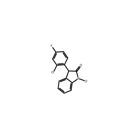 O=C1C(c2ccc(F)cc2Cl)c2ccccc2N1Cl